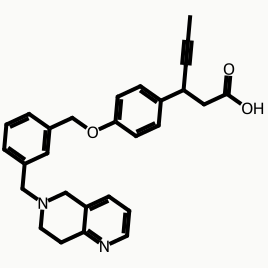 CC#CC(CC(=O)O)c1ccc(OCc2cccc(CN3CCc4ncccc4C3)c2)cc1